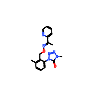 CC(=NOCc1c(C)cccc1-n1nnn(C)c1=O)c1ccccn1